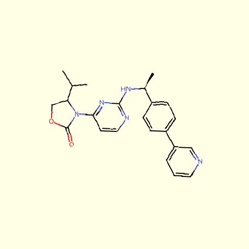 CC(C)C1COC(=O)N1c1ccnc(N[C@@H](C)c2ccc(-c3cccnc3)cc2)n1